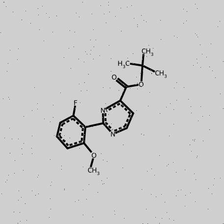 COc1cccc(F)c1-c1nccc(C(=O)OC(C)(C)C)n1